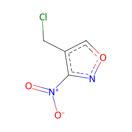 O=[N+]([O-])c1nocc1CCl